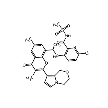 Cc1cc([C@@H](C)Nc2ccc(Cl)nc2C(=O)NS(C)(=O)=O)c2oc(-c3ccn4c3COCC4)c(C)c(=O)c2c1